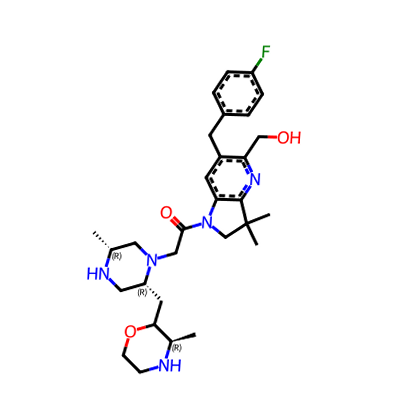 C[C@@H]1CN(CC(=O)N2CC(C)(C)c3nc(CO)c(Cc4ccc(F)cc4)cc32)[C@H](CC2OCCN[C@@H]2C)CN1